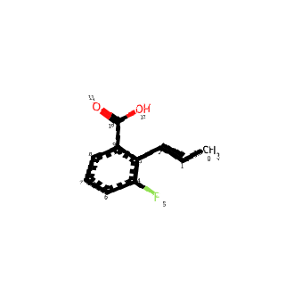 CC=Cc1c(F)cccc1C(=O)O